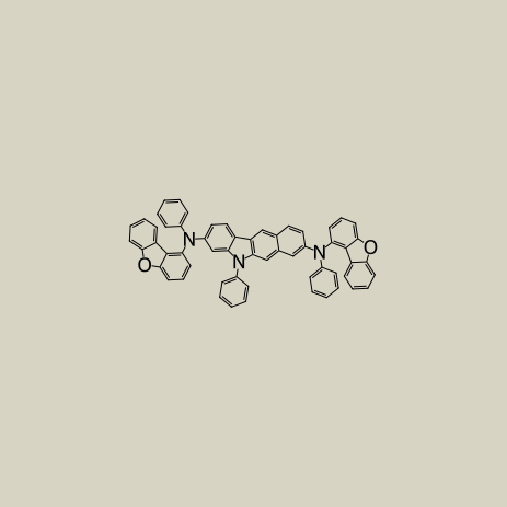 c1ccc(N(c2ccc3cc4c5ccc(N(c6ccccc6)c6cccc7oc8ccccc8c67)cc5n(-c5ccccc5)c4cc3c2)c2cccc3oc4ccccc4c23)cc1